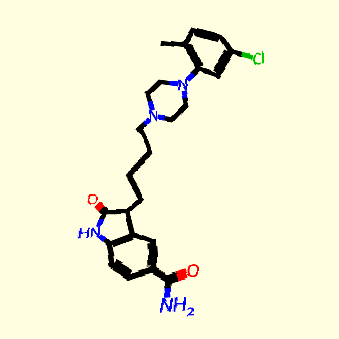 Cc1ccc(Cl)cc1N1CCN(CCCCC2C(=O)Nc3ccc(C(N)=O)cc32)CC1